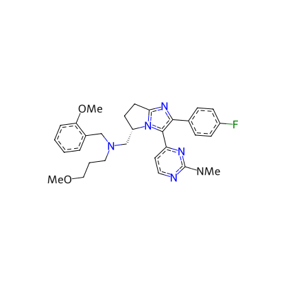 CNc1nccc(-c2c(-c3ccc(F)cc3)nc3n2[C@H](CN(CCCOC)Cc2ccccc2OC)CC3)n1